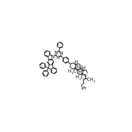 CC(C)CCC[C@@H](C)[C@H]1CC[C@H]2[C@@H]3CC[C@H]4CC(c5ccc(-c6nc(-c7ccccc7)nc(-n7c8ccccc8c8cc9c(cc87)-c7ccccc7C9(c7ccccc7)c7ccccc7)n6)cc5)CC[C@]4(C)[C@H]3CC[C@]12C